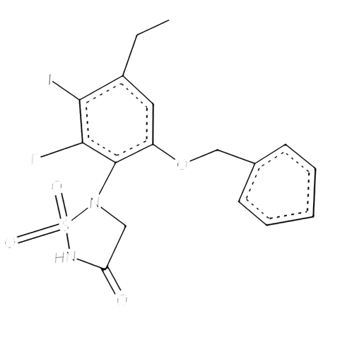 CCc1cc(OCc2ccccc2)c(N2CC(=O)NS2(=O)=O)c(F)c1I